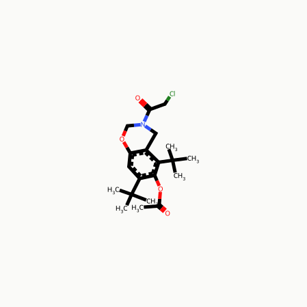 CC(=O)Oc1c(C(C)(C)C)cc2c(c1C(C)(C)C)CN(C(=O)CCl)CO2